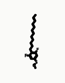 CCCCCCCCCCCCc1c(F)cc(SOC)cc1F